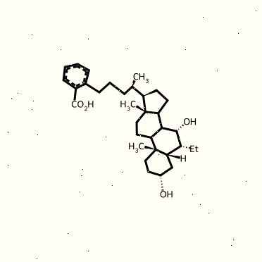 CC[C@H]1[C@@H](O)C2C3CC[C@H]([C@H](C)CCCc4ccccc4C(=O)O)[C@@]3(C)CCC2[C@@]2(C)CC[C@@H](O)C[C@@H]12